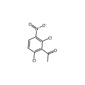 CC(=O)c1c(Cl)ccc([N+](=O)[O-])c1Cl